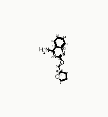 Nc1nc(OC[C@H]2CCCO2)nc2ccccc12